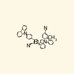 CC12C=C(C#N)C=CC1N(C1(C)C=CC=CC1c1ccc(-c3ccc(N4c5ccccc5C5C=CC=CC54)cc3)c(C#N)c1)c1ccccc12